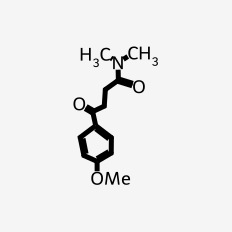 COc1ccc(C(=O)CCC(=O)N(C)C)cc1